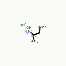 CNC[C@@H](C)N.Cl.Cl